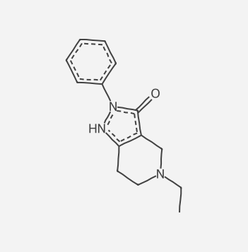 CCN1CCc2[nH]n(-c3ccccc3)c(=O)c2C1